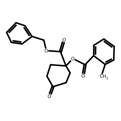 Cc1ccccc1C(=O)OC1(C(=O)OCc2ccccc2)CCC(=O)CC1